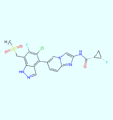 CS(=O)(=O)Cc1c(F)c(Cl)c(-c2ccc3nc(NC(=O)[C@@H]4C[C@@H]4F)cn3c2)c2cn[nH]c12